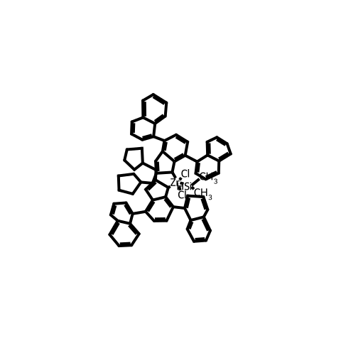 C[SiH](C)[Zr]([Cl])([Cl])([CH]1C(CC2CCCC2)=Cc2c(-c3cccc4ccccc34)ccc(-c3cccc4ccccc34)c21)[CH]1C(CC2CCCC2)=Cc2c(-c3cccc4ccccc34)ccc(-c3cccc4ccccc34)c21